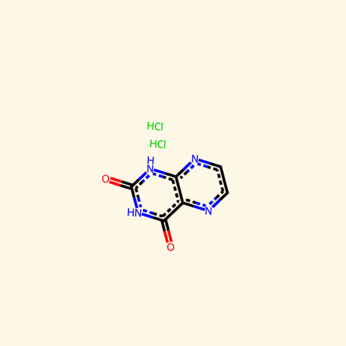 Cl.Cl.O=c1[nH]c(=O)c2nccnc2[nH]1